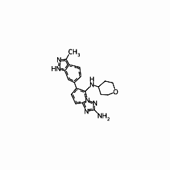 Cc1n[nH]c2cc(-c3ccc4nc(N)nn4c3NC3CCOCC3)ccc12